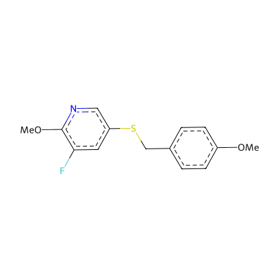 COc1ccc(CSc2cnc(OC)c(F)c2)cc1